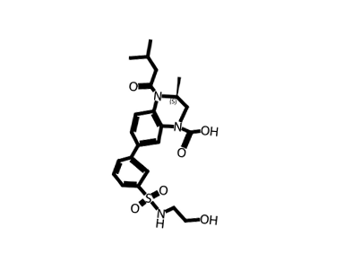 CC(C)CC(=O)N1c2ccc(-c3cccc(S(=O)(=O)NCCO)c3)cc2N(C(=O)O)C[C@@H]1C